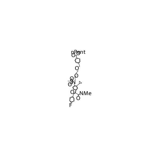 CCCCCOC(=O)c1ccc(COCCOCCN(c2cc3oc(-c4ccc(F)cc4)c(C(=O)NC)c3cc2C2CC2)S(C)(=O)=O)cc1